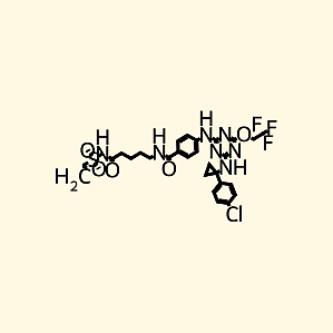 C=CS(=O)(=O)NC(=O)CCCCNC(=O)c1ccc(Nc2nc(NC3(c4ccc(Cl)cc4)CC3)nc(OCC(F)(F)F)n2)cc1